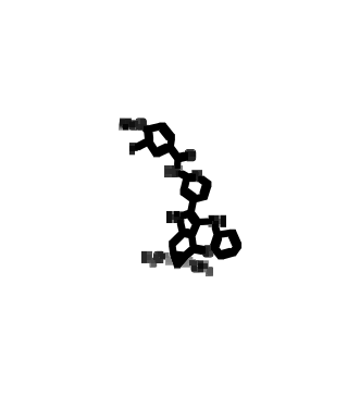 COc1ccc(C(=O)Nc2cc(-c3[nH]c4c(c3Nc3ccccc3)C(=O)[C@@]3(C)C[C@@]3(C)C4)ccn2)cc1F